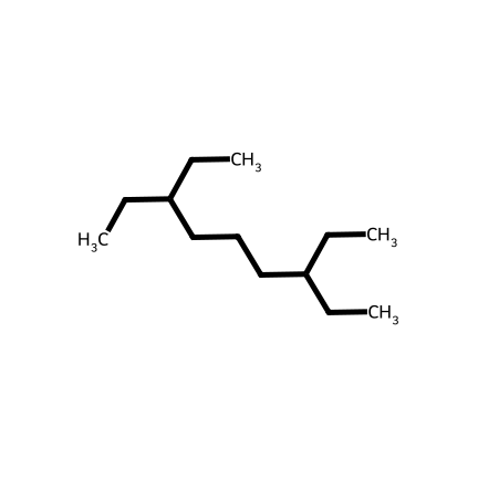 CCC(CC)CCCC(CC)CC